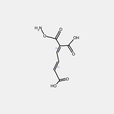 NOC(=O)/C(=C/C=C/C(=O)O)C(=O)O